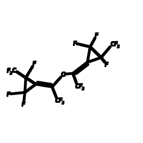 FC(F)(F)C(OC(=C1C(F)(F)C1(F)C(F)(F)F)C(F)(F)F)=C1C(F)(F)C1(F)C(F)(F)F